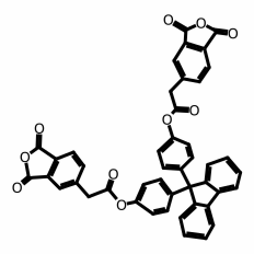 O=C(Cc1ccc2c(c1)C(=O)OC2=O)Oc1ccc(C2(c3ccc(OC(=O)Cc4ccc5c(c4)C(=O)OC5=O)cc3)c3ccccc3-c3ccccc32)cc1